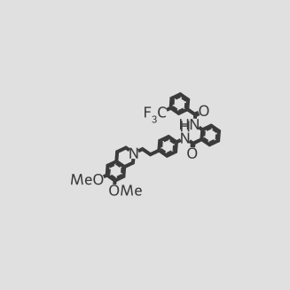 COc1cc2c(cc1OC)CN(CCc1ccc(NC(=O)c3ccccc3NC(=O)c3cccc(C(F)(F)F)c3)cc1)CC2